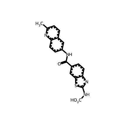 Cc1ccc2cc(NC(=O)c3ccc4nc(NC(=O)O)sc4c3)ccc2n1